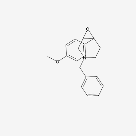 COc1ccc(C23CCN(Cc4ccccc4)CC2O3)cc1